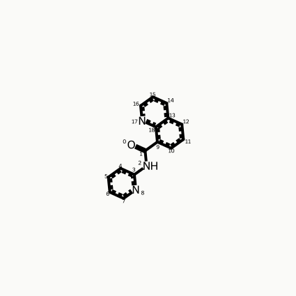 O=C(Nc1ccccn1)c1cccc2cccnc12